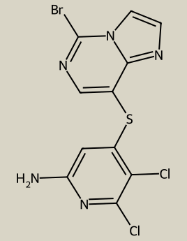 Nc1cc(Sc2cnc(Br)n3ccnc23)c(Cl)c(Cl)n1